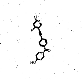 O=C(c1ccc(C#Cc2cnc(Cl)cc2F)cc1)N1CCC(O)CC1